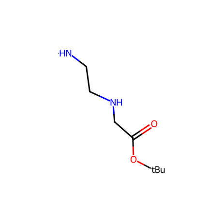 CC(C)(C)OC(=O)CNCC[NH]